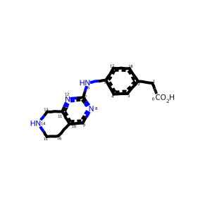 O=C(O)Cc1ccc(Nc2ncc3c(n2)CNCC3)cc1